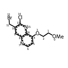 COCCOc1ccnc2cc(CBr)c(Cl)nc12